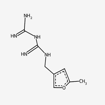 Cc1cc(CNC(=N)NC(=N)N)co1